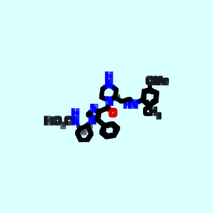 CCOC(=O)N[C@H]1CCCC[C@@H]1n1cnc(C(=O)N2CCNC[C@H]2CCNc2cc(OC)ccc2C)c1-c1ccccc1